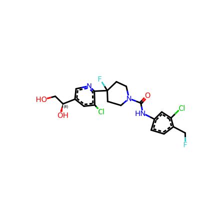 O=C(Nc1ccc(CF)c(Cl)c1)N1CCC(F)(c2ncc([C@@H](O)CO)cc2Cl)CC1